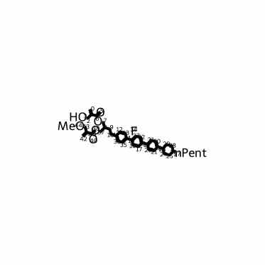 C=C(CO)C(=O)OCC(CCc1ccc(-c2ccc(-c3ccc(C4CCC(CCCCC)CC4)cc3)cc2F)cc1)COC(=O)C(=C)COC